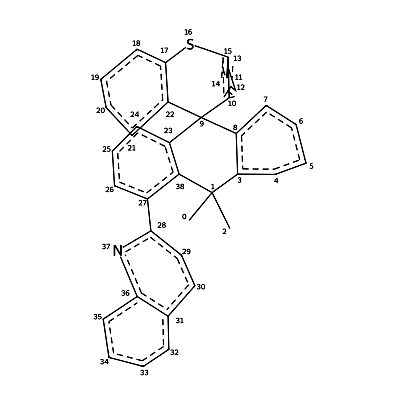 CC1(C)c2ccccc2C2(c3ccccc3Sc3ccccc32)c2cccc(-c3ccc4ccccc4n3)c21